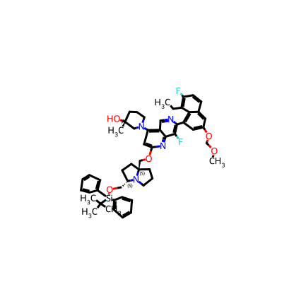 CCc1c(F)ccc2cc(OCOC)cc(-c3ncc4c(N5CCC[C@@](C)(O)C5)cc(OC[C@@]56CCCN5[C@H](CO[Si](c5ccccc5)(c5ccccc5)C(C)(C)C)CC6)nc4c3F)c12